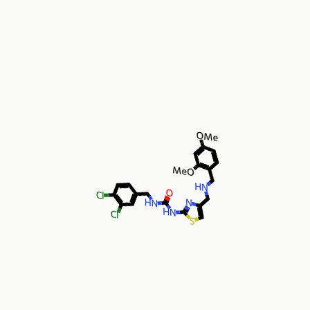 COc1ccc(CNCc2csc(NC(=O)NCc3ccc(Cl)c(Cl)c3)n2)c(OC)c1